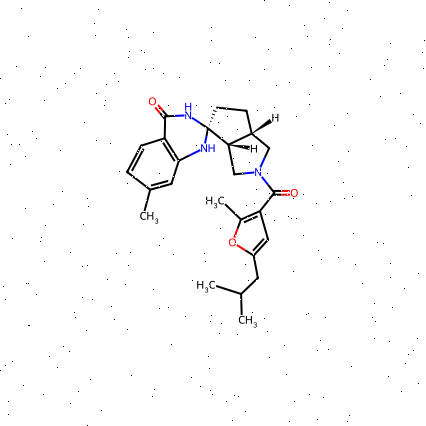 Cc1ccc2c(c1)N[C@@]1(CC[C@@H]3CN(C(=O)c4cc(CC(C)C)oc4C)C[C@@H]31)NC2=O